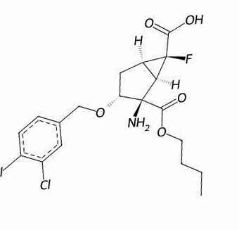 CCCCOC(=O)[C@@]1(N)[C@H]2[C@@H](C[C@H]1OCc1ccc(Cl)c(Cl)c1)[C@]2(F)C(=O)O